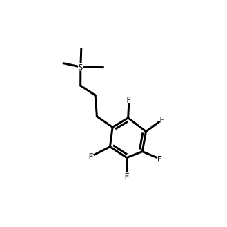 CS(C)(C)CCCc1c(F)c(F)c(F)c(F)c1F